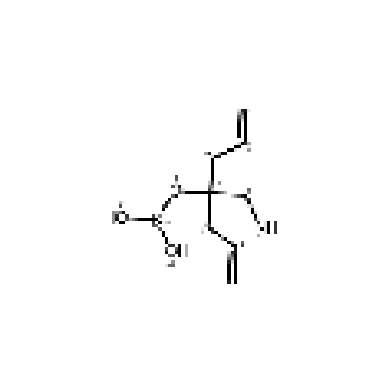 C=CCC(CN)(CC=C)OB(O)O